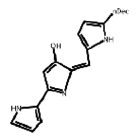 CCCCCCCCCCc1ccc(/C=C2/N=C(c3ccc[nH]3)C=C2O)[nH]1